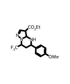 CCOC(=O)C1C=NN2C1NC(c1ccc(OC)cc1)CC2C(F)(F)F